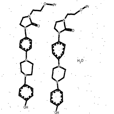 CC(C)OCCN1CCN(c2ccc(N3CCN(c4ccc(O)cc4)CC3)cc2)C1=O.CC(C)OCCN1CCN(c2ccc(N3CCN(c4ccc(O)cc4)CC3)cc2)C1=O.O